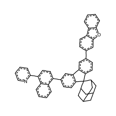 c1ccc(-c2ccc(-c3ccc4c(c3)-c3cc(-c5ccc6c(c5)oc5ccccc56)ccc3C43C4CC5CC(C4)CC3C5)c3ccccc23)nc1